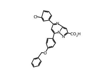 O=C(O)c1cc2nc(-c3cccc(Cl)c3)cc(-c3ccc(OCc4ccccc4)cc3)n2n1